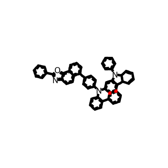 C1=CC2c3ccc(N(c4ccc(-c5cccc6c5ccc5nc(-c7ccccc7)oc56)cc4)c4ccccc4-c4ccccc4)cc3N(c3ccccc3)C2C=C1